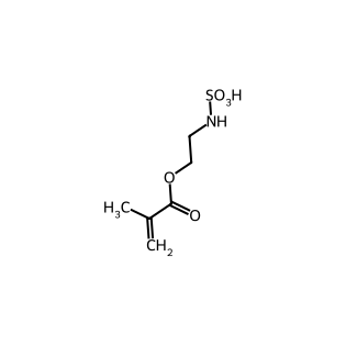 C=C(C)C(=O)OCCNS(=O)(=O)O